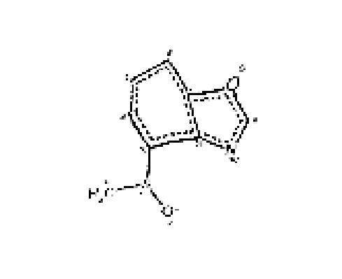 C[S+]([O-])c1cccc2ocnc12